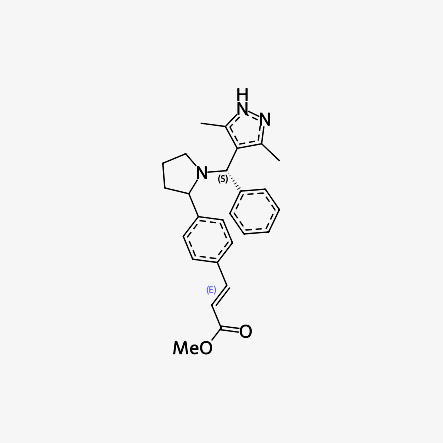 COC(=O)/C=C/c1ccc(C2CCCN2[C@@H](c2ccccc2)c2c(C)n[nH]c2C)cc1